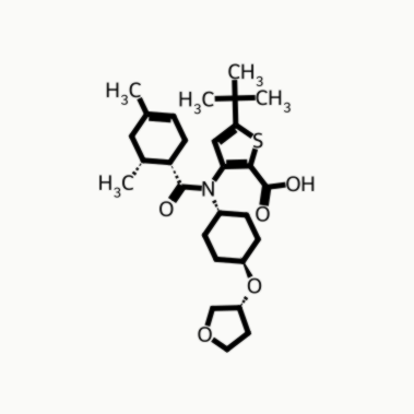 CC1=CC[C@H](C(=O)N(c2cc(C(C)(C)C)sc2C(=O)O)[C@H]2CC[C@H](O[C@@H]3CCOC3)CC2)[C@H](C)C1